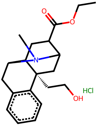 CCOC(=O)C1CC2C3Cc4ccccc4[C@]2(CCO)CC1N3C.Cl